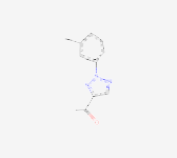 CC(=O)c1cnn(-c2cccc(C)c2)n1